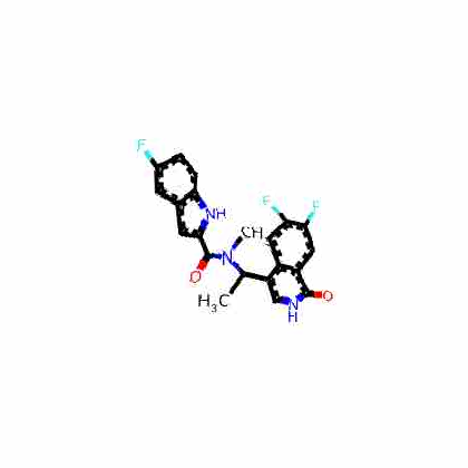 CC(c1c[nH]c(=O)c2cc(F)c(F)cc12)N(C)C(=O)c1cc2cc(F)ccc2[nH]1